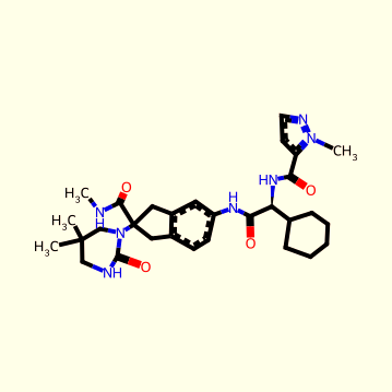 CNC(=O)C1(N2CC(C)(C)CNC2=O)Cc2ccc(NC(=O)[C@@H](NC(=O)c3ccnn3C)C3CCCCC3)cc2C1